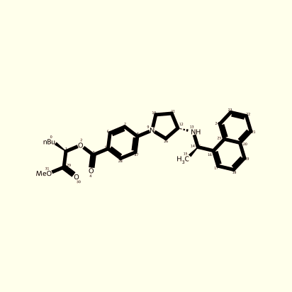 CCCC[C@@H](OC(=O)c1ccc(N2CC[C@H](N[C@H](C)c3cccc4ccccc34)C2)cc1)C(=O)OC